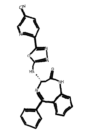 N#Cc1ccc(-c2nnc(N[C@H]3N=C(c4ccccc4)c4ccccc4NC3=O)o2)nc1